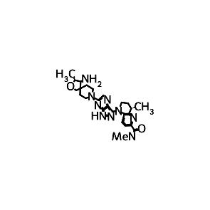 CNC(=O)c1ccc2c(n1)[C@@H](C)CCN2c1n[nH]c2nc(N3CCC4(CC3)CO[C@@H](C)[C@H]4N)cnc12